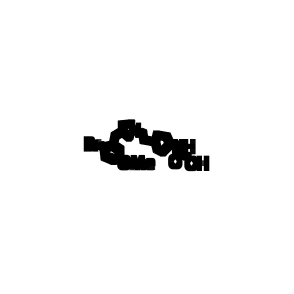 COc1ccc(Br)c(CC2CCN(CCC3CCC(NC(=O)CO)CC3)C2)c1